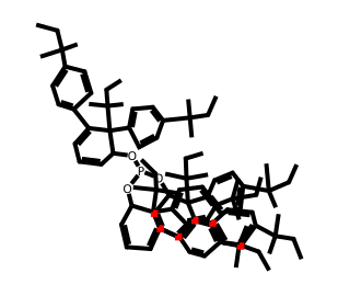 CCC(C)(C)c1ccc(C2=CC=CC(OP(OC3C=CC=C(c4ccc(C(C)(C)CC)cc4)C3(c3ccc(C(C)(C)CC)cc3)C(C)(C)CC)OC3C=CC=C(c4ccc(C(C)(C)CC)cc4)C3(c3ccc(C(C)(C)CC)cc3)C(C)(C)CC)C2(c2ccc(C(C)(C)CC)cc2)C(C)(C)CC)cc1